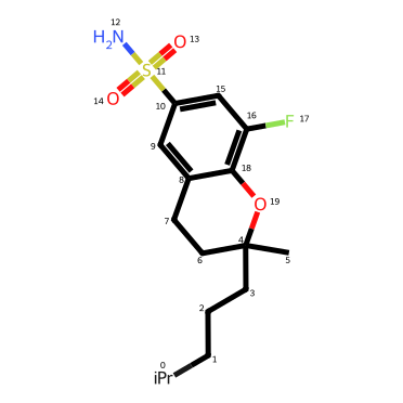 CC(C)CCCC1(C)CCc2cc(S(N)(=O)=O)cc(F)c2O1